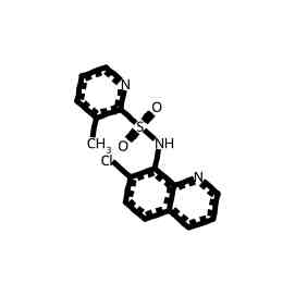 Cc1cccnc1S(=O)(=O)Nc1c(Cl)ccc2cccnc12